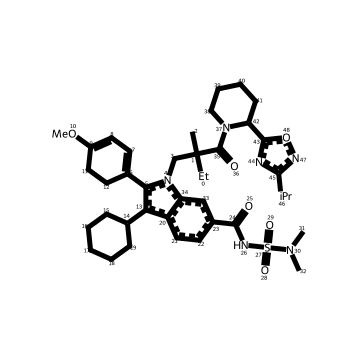 CCC(C)(Cn1c(C2=CC=C(OC)CC2)c(C2CCCCC2)c2ccc(C(=O)NS(=O)(=O)N(C)C)cc21)C(=O)N1CCCCC1c1nc(C(C)C)no1